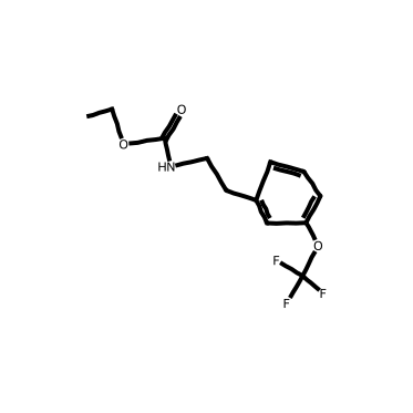 CCOC(=O)NCCc1cccc(OC(F)(F)F)c1